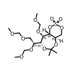 COCOC[C@H](OCOC)[C@H]1OC(C)(C)O[C@@H]2COS(=O)(=O)O[C@H]2[C@@H]1OCOC